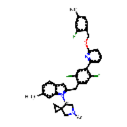 CC(=O)N1C[C@H](n2c(Cc3cc(F)c(-c4cccc(OCc5ccc(C#N)cc5F)n4)cc3F)cc3ccc(C(=O)O)cc32)C2(CC2)C1